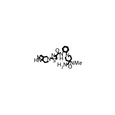 CNC1(C(N)=O)CCN(c2ccccc2NC(=O)c2csc(N3CCc4[nH]ncc4C3)n2)CC1